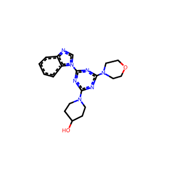 OC1CCN(c2nc(N3CCOCC3)nc(-n3cnc4ccccc43)n2)CC1